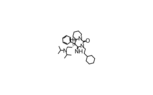 CC(C)N(CC[C@@]1(c2ccccc2)C(=N)N(CCC2CCCCC2)C(=O)N2CCCC[C@@H]21)C(C)C